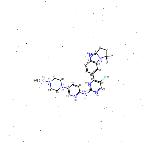 CC1(C)CCc2nc3ccc(-c4nc(Nc5ccc(N6CCN(C(=O)O)CC6)cn5)ncc4F)cc3n21